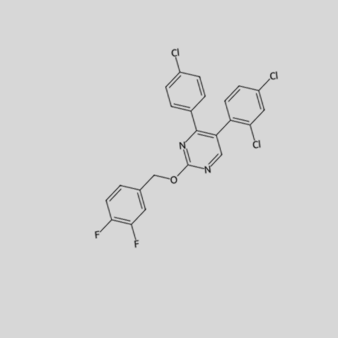 Fc1ccc(COc2ncc(-c3ccc(Cl)cc3Cl)c(-c3ccc(Cl)cc3)n2)cc1F